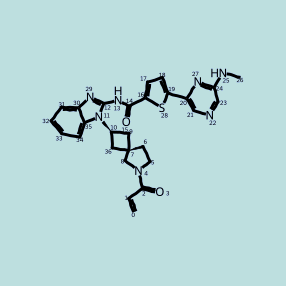 C=CC(=O)N1CC[C@]2(C1)C[C@H](n1c(NC(=O)c3ccc(-c4cncc(NC)n4)s3)nc3ccccc31)C2